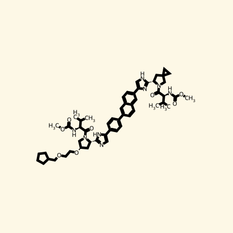 COC(=O)N[C@H](C(=O)N1CC2(CC2)C[C@H]1c1nc(-c2ccc3cc(-c4ccc(-c5cnc([C@@H]6C[C@H](OCCOCC7CCCC7)CN6C(=O)[C@@H](NC(=O)OC)C(C)C)[nH]5)cc4)ccc3c2)c[nH]1)C(C)C